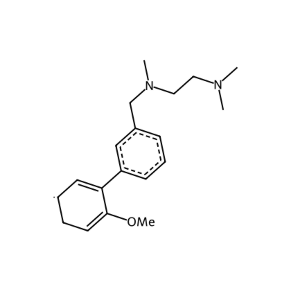 COC1=CC[CH]C=C1c1cccc(CN(C)CCN(C)C)c1